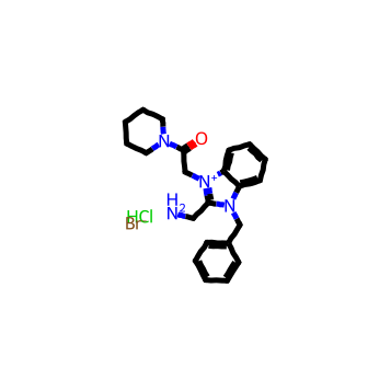 Cl.NCc1n(Cc2ccccc2)c2ccccc2[n+]1CC(=O)N1CCCCC1.[Br-]